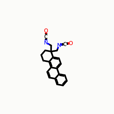 O=C=NCC1(CN=C=O)CCCc2c1ccc1c2ccc2ccccc21